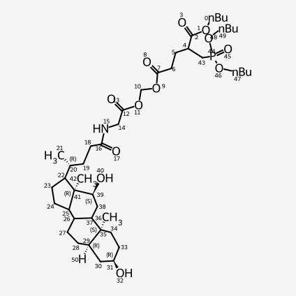 CCCCOC(=O)C(CCC(=O)OCOC(=O)CNC(=O)CC[C@@H](C)C1CCC2C3CC[C@@H]4C[C@H](O)CC[C@]4(C)C3C[C@H](O)[C@@]21C)CP(=O)(OCCCC)OCCCC